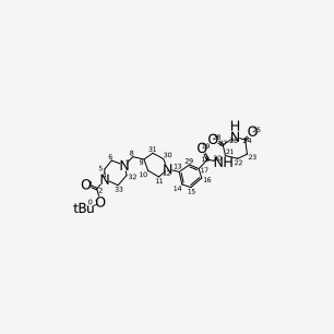 CC(C)(C)OC(=O)N1CCN(CC2CCN(c3cccc(C(=O)NC4CCC(=O)NC4=O)c3)CC2)CC1